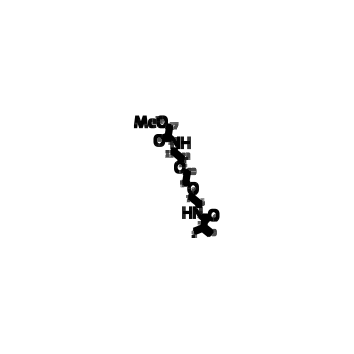 C=C(C)C(=O)NCCOCCOCCNC(=O)COC